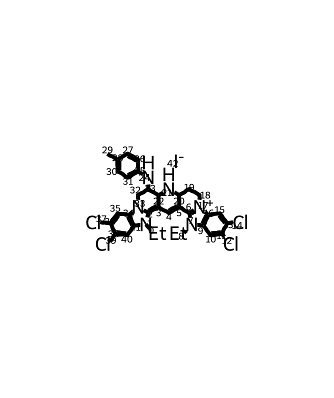 CCN1C2=C3C=C4c5n(CC)c6cc(Cl)c(Cl)cc6[n+]5CCC4NC3C(Nc3ccc(C)cc3)CN2c2cc(Cl)c(Cl)cc21.[I-]